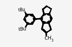 CC1=Cc2c(cc3c(c2-c2cc(C(C)(C)C)cc(C(C)(C)C)c2)CCC3)C1